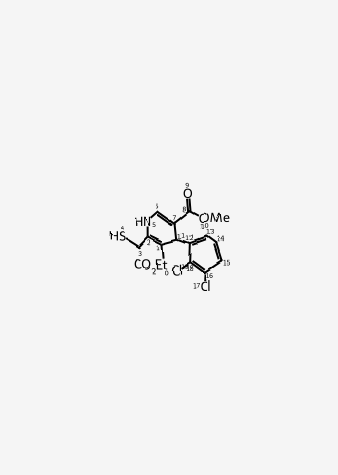 CCOC(=O)C1=C(CS)NC=C(C(=O)OC)C1c1cccc(Cl)c1Cl